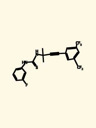 CC(C)(C#Cc1cc(C(F)(F)F)cc(C(F)(F)F)c1)NC(=S)Nc1cccc(F)c1